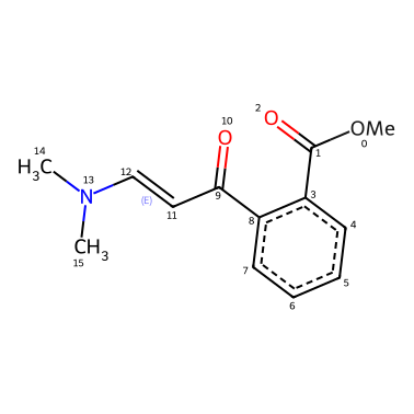 COC(=O)c1ccccc1C(=O)/C=C/N(C)C